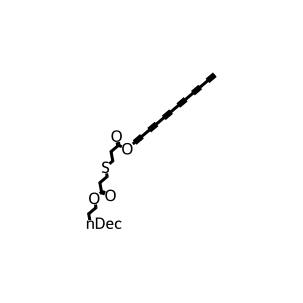 C#CC#CC#CC#CC#CC#COC(=O)CCSCCC(=O)OCCCCCCCCCCCC